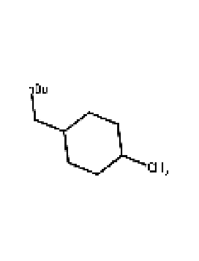 [CH2]C1CCC(CCCCC)CC1